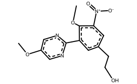 COc1cnc(-c2cc(CCO)cc([N+](=O)[O-])c2OC)nc1